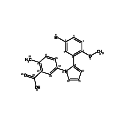 COc1ccc(Br)cc1-c1cccn1-c1ccc(C)c(C(=O)O)c1